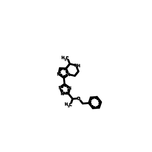 CC1NCCn2c1cnc2-c1nc(C(C)OCc2ccccc2)ns1